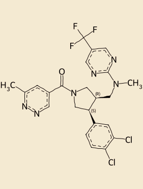 Cc1cc(C(=O)N2C[C@@H](CN(C)c3ncc(C(F)(F)F)cn3)[C@@H](c3ccc(Cl)c(Cl)c3)C2)cnn1